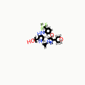 CC(C)(O)c1cc(Nc2cc(Oc3cn(C4CC4)nc3C3CCOCC3)ccc2C(F)(F)F)ccn1